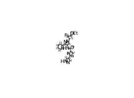 CCO[C@@H]1CC(n2cc(NC(=O)c3csc(-c4cn[nH]c4)n3)c(-c3ccccn3)n2)[C@@H]1F